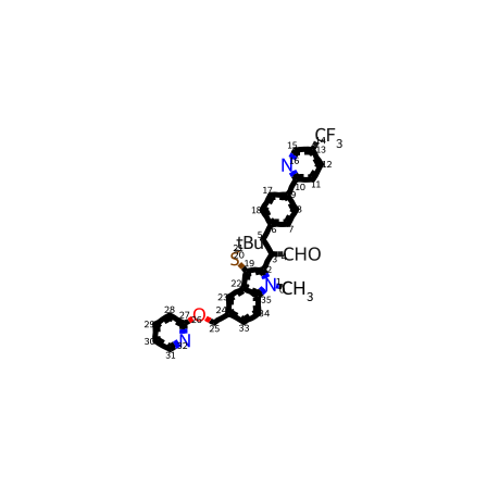 Cn1c(C(C=O)Cc2ccc(-c3ccc(C(F)(F)F)cn3)cc2)c(SC(C)(C)C)c2cc(COc3ccccn3)ccc21